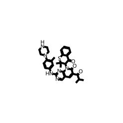 Cc1cc(Nc2ncc3cc(C(=O)C(C)C)c(=O)n(C4C(=O)c5ccccc5SC4(C)C)c3n2)ccc1N1CCNCC1